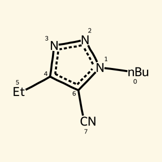 CCCCn1nnc(CC)c1C#N